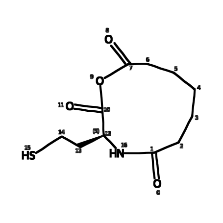 O=C1CCCCCC(=O)OC(=O)[C@H](CCS)N1